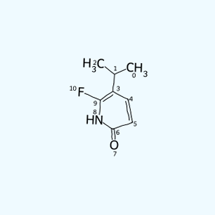 CC(C)c1ccc(=O)[nH]c1F